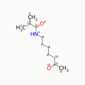 C=C(C)C(=O)NCCCCCC(C)=O